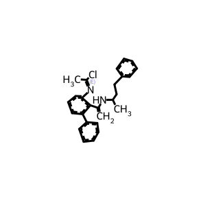 C=C(NC(C)CCc1ccccc1)c1c(/N=C(\C)Cl)cccc1-c1ccccc1